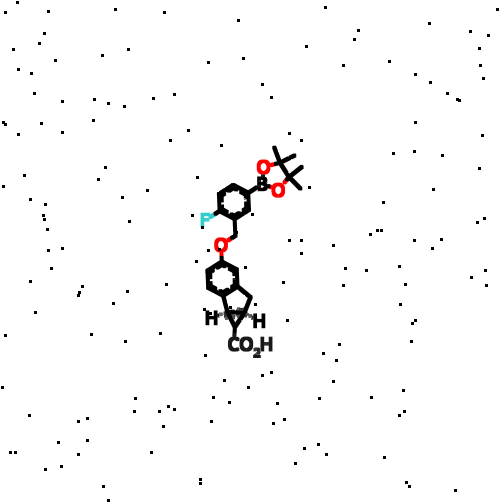 CC1(C)OB(c2ccc(F)c(COc3ccc4c(c3)C[C@H]3C(C(=O)O)[C@@H]43)c2)OC1(C)C